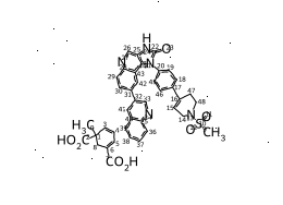 CC1(C(=O)O)C=CC=C(C(=O)O)C1.CS(=O)(=O)N1CC=C(c2ccc(-n3c(=O)[nH]c4cnc5ccc(-c6cnc7ccccc7c6)cc5c43)cc2)CC1